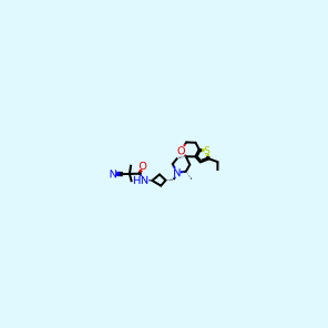 CCc1cc2c(s1)CCO[C@@]21CCN(C[C@H]2C[C@@H](NC(=O)C(C)(C)C#N)C2)[C@@H](C)C1